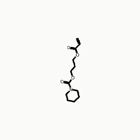 C=CC(=O)OCCCOC(=O)N1CCCCC1